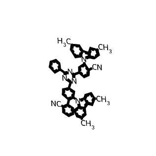 Cc1ccc2c(c1)c1cc(C)ccc1n2-c1cc(-c2nc(-c3ccccc3)nc(-c3ccc(-c4ccccc4C#N)c(-n4c5ccc(C)cc5c5cc(C)ccc54)c3)n2)ccc1C#N